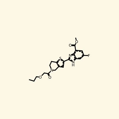 CCCOCC(=O)N1CCc2sc(-c3nc4c(C(=O)OC)cc(F)cc4[nH]3)cc2C1